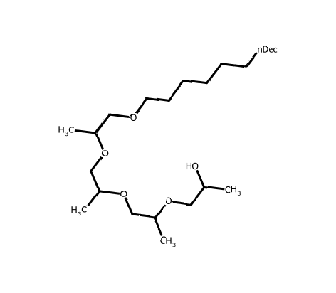 CCCCCCCCCCCCCCCCOCC(C)OCC(C)OCC(C)OCC(C)O